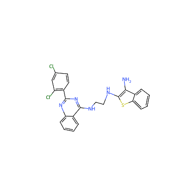 Nc1c(NCCNc2nc(-c3ccc(Cl)cc3Cl)nc3ccccc23)sc2ccccc12